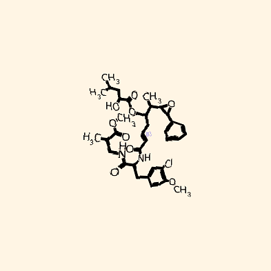 COC(=O)C(C)CNC(=O)C(Cc1ccc(OC)c(Cl)c1)NC(=O)/C=C/CC(OC(=O)C(O)CC(C)C)C(C)C1OC1c1ccccc1